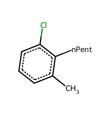 CCCCCc1c(C)cccc1Cl